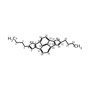 CCCCc1cc2c(s1)-c1ccc3c4c(ccc-2c14)-c1cc(CCCC)sc1-3